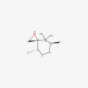 C[C@H]1CC[C@H](C)[C@@]2(CO2)C1(C)C